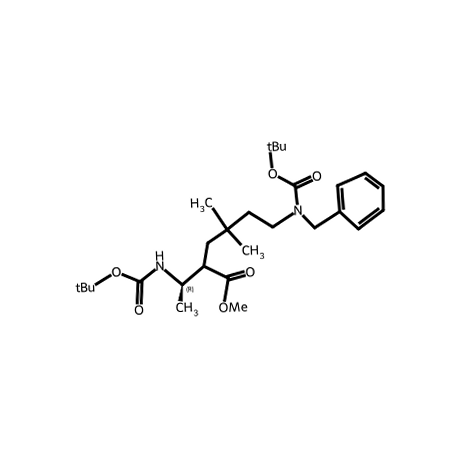 COC(=O)C(CC(C)(C)CCN(Cc1ccccc1)C(=O)OC(C)(C)C)[C@@H](C)NC(=O)OC(C)(C)C